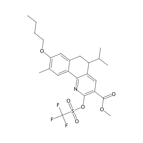 CCCCOc1cc2c(cc1C)-c1nc(OS(=O)(=O)C(F)(F)F)c(C(=O)OC)cc1C(C(C)C)C2